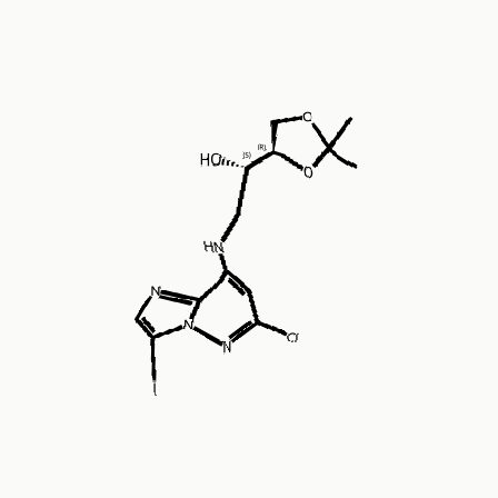 CC1(C)OC[C@H]([C@@H](O)CNc2cc(Cl)nn3c(I)cnc23)O1